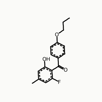 CCCOc1ccc(C(=O)c2c(O)cc(C)cc2F)cc1